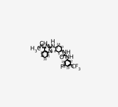 CN(C)c1nc(N[C@H]2CC[C@@H](NC(=O)Nc3cc(F)cc(C(F)(F)F)c3)CC2)nc2c1CCCC2